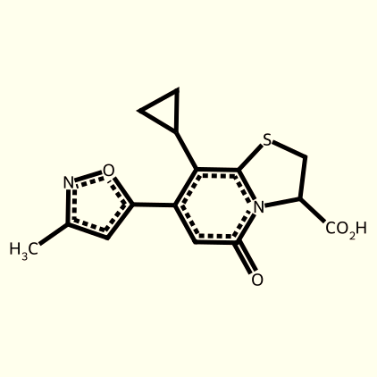 Cc1cc(-c2cc(=O)n3c(c2C2CC2)SCC3C(=O)O)on1